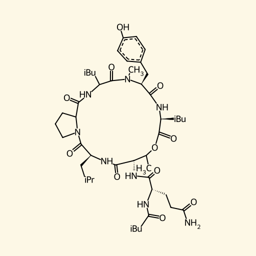 CCC(C)C(=O)N[C@@H](CCC(N)=O)C(=O)N[C@@H]1C(=O)N[C@@H](CC(C)C)C(=O)N2CCCC2C(=O)NC(C(C)CC)C(=O)N(C)[C@@H](Cc2ccc(O)cc2)C(=O)N[C@@H](C(C)CC)C(=O)OC1C